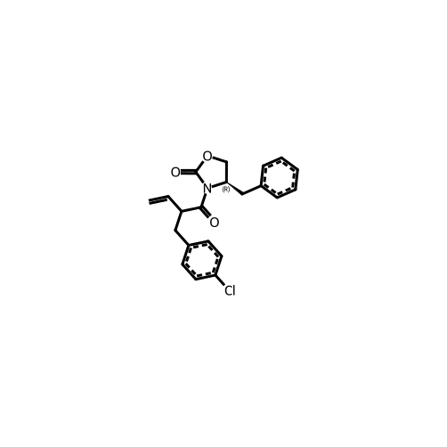 C=CC(Cc1ccc(Cl)cc1)C(=O)N1C(=O)OC[C@H]1Cc1ccccc1